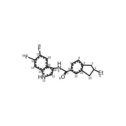 CCC1Cc2ccc(C(=O)Nc3c[nH]c4cc(F)c(F)cc34)cc2C1